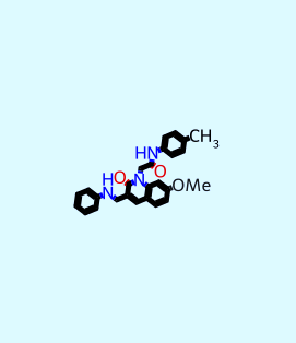 COc1ccc2cc(CNc3ccccc3)c(=O)n(CC(=O)Nc3ccc(C)cc3)c2c1